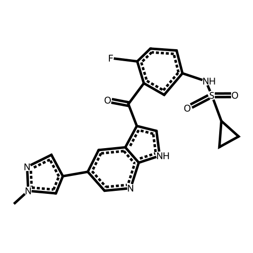 Cn1cc(-c2cnc3[nH]cc(C(=O)c4cc(NS(=O)(=O)C5CC5)ccc4F)c3c2)cn1